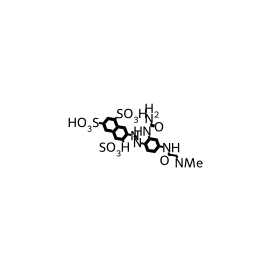 CNCC(=O)Nc1ccc(N=Nc2cc3c(S(=O)(=O)O)cc(S(=O)(=O)O)cc3cc2S(=O)(=O)O)c(NC(N)=O)c1